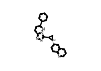 c1ccc(-c2ccc3nnc(C4C[C@@H]4c4ccc5ncccc5c4)n3n2)cc1